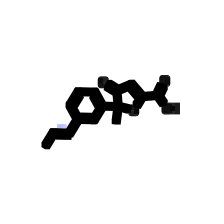 C/C=C/c1cccc(C2(C)OC(C(=O)O)=CC2=O)c1